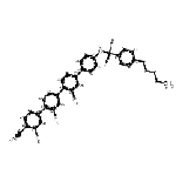 CCCCCc1ccc(C(F)(F)Oc2ccc(-c3ccc(-c4ccc(-c5ccc(C#N)c(F)c5)c(F)c4)c(F)c3)cc2)cc1